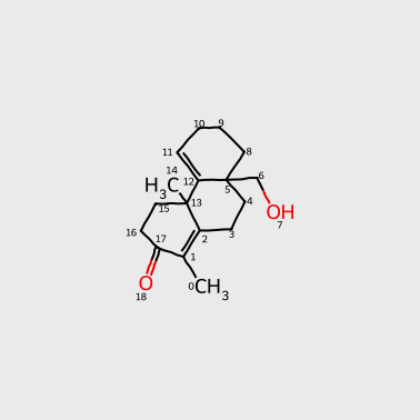 CC1=C2CCC3(CO)CCCC=C3C2(C)CCC1=O